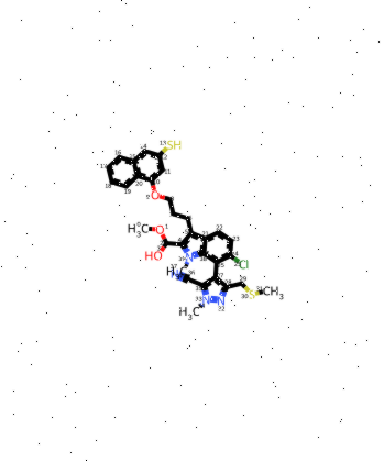 COC(O)c1c(CCCOc2cc(S)cc3ccccc23)c2ccc(Cl)c(-c3c(CSC)nn(C)c3C#N)c2n1C